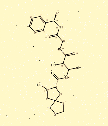 CCCC(NC(=O)[C@@H]1CC2(CN1C)SCCS2)C(O)C(=O)NCC(=O)N[C@H](C(C)=O)c1ccccc1